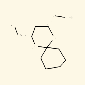 N#CC[C@@H]1C[C@H](CC=O)OC2(CCCCC2)O1